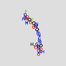 Cn1c(=O)n(C2CCC(=O)NC2=O)c2cccc(N3CCN(CCN4CCN(c5ccc(-n6cnc7ccc(Oc8c(F)ccc(NS(=O)(=O)N9CC[C@@H](F)C9)c8C#N)cc7c6=O)cc5)CC4)CC3)c21